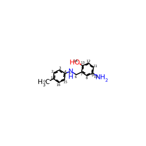 Cc1ccc(NCc2cc(N)ccc2O)cc1